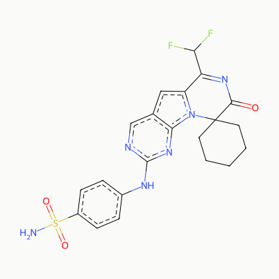 NS(=O)(=O)c1ccc(Nc2ncc3cc4n(c3n2)C2(CCCCC2)C(=O)N=C4C(F)F)cc1